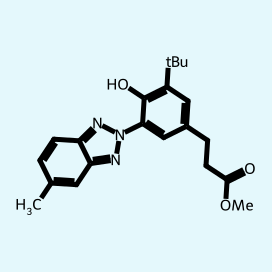 COC(=O)CCc1cc(-n2nc3ccc(C)cc3n2)c(O)c(C(C)(C)C)c1